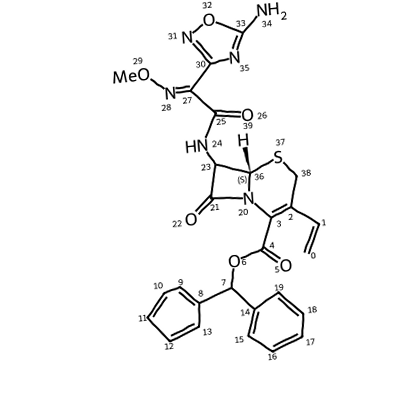 C=CC1=C(C(=O)OC(c2ccccc2)c2ccccc2)N2C(=O)C(NC(=O)C(=NOC)c3noc(N)n3)[C@@H]2SC1